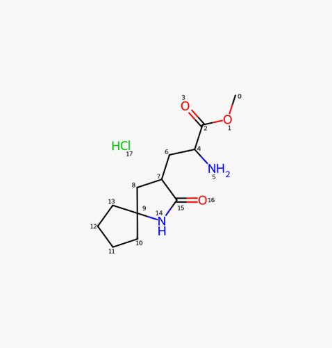 COC(=O)C(N)CC1CC2(CCCC2)NC1=O.Cl